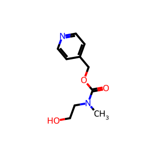 CN(CCO)C(=O)OCc1ccncc1